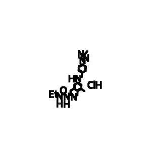 CCNC(=O)Nc1cc2cc(NCc3ccc(-n4cnc(C)n4)cc3)cc(C)c2cn1.Cl